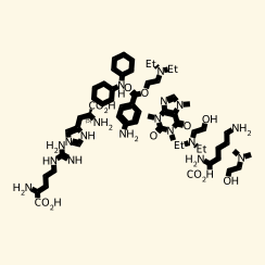 C1CCC(NC2CCCCC2)CC1.CCN(CC)CCO.CCN(CC)CCOC(=O)c1ccc(N)cc1.CN(C)CCO.Cn1c(=O)c2c(ncn2C)n(C)c1=O.N=C(N)NCCCC(N)C(=O)O.NCCCCC(N)C(=O)O.N[C@@H](Cc1cnc[nH]1)C(=O)O